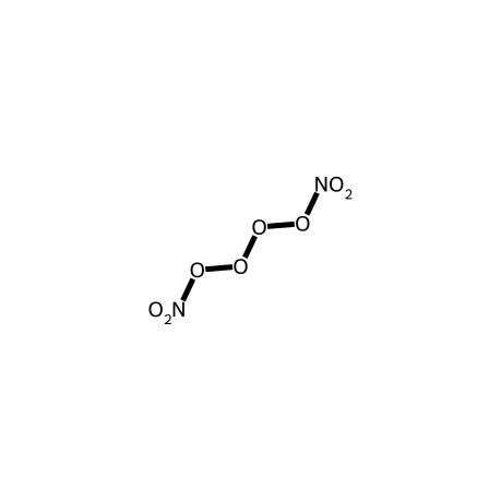 O=[N+]([O-])OOOO[N+](=O)[O-]